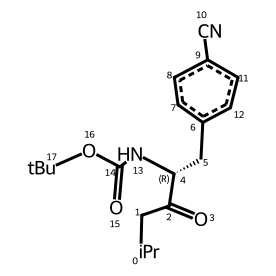 CC(C)CC(=O)[C@@H](Cc1ccc(C#N)cc1)NC(=O)OC(C)(C)C